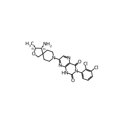 C[C@@H]1OCC2(CCN(c3cnc4c(=O)n(-c5cccc(Cl)c5Cl)c(=O)[nH]c4n3)CC2)[C@@H]1N